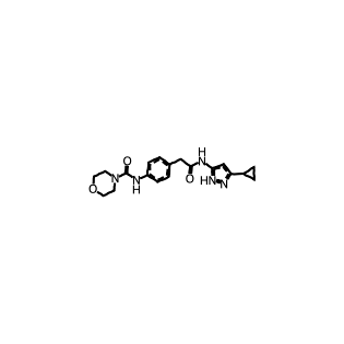 O=C(Cc1ccc(NC(=O)N2CCOCC2)cc1)Nc1cc(C2CC2)n[nH]1